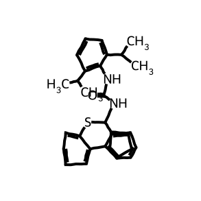 CC(C)c1cccc(C(C)C)c1NC(=O)NC(Sc1ccccc1-c1ccccc1)C1CCCC1